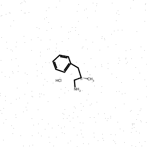 C[C@H](CN)Cc1ccccc1.Cl